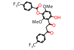 COc1cc(O)c(C(=O)CC(=O)c2ccc(C(F)(F)F)cc2)c(OC)c1OC(=O)c1ccc(C(F)(F)F)cc1